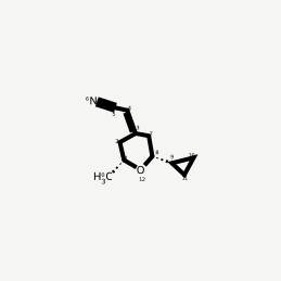 C[C@@H]1C/C(=C\C#N)C[C@H](C2CC2)O1